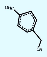 N#CCc1ccc(C=O)cc1